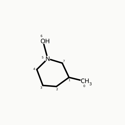 CC1CCCN(O)C1